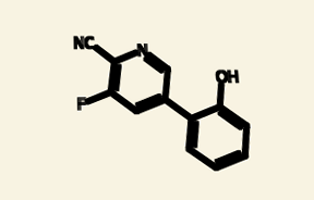 N#Cc1ncc(-c2ccccc2O)cc1F